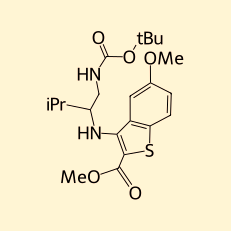 COC(=O)c1sc2ccc(OC)cc2c1NC(CNC(=O)OC(C)(C)C)C(C)C